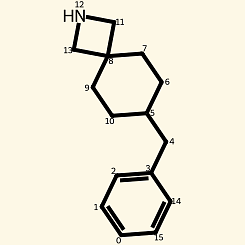 c1ccc(CC2CCC3(CC2)CNC3)cc1